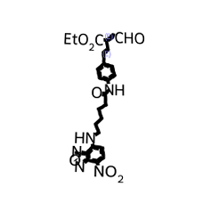 CCOC(=O)C(/C=C/c1ccc(NC(=O)CCCCCNc2ccc([N+](=O)[O-])c3nonc23)cc1)=C/C=O